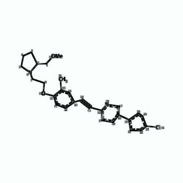 COCC1CCCN1CCOc1ccc(C#Cc2ccc(-c3ccc(Cl)cc3)cn2)cc1C